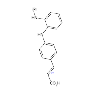 CC(C)Nc1ccccc1Nc1ccc(/C=C/C(=O)O)cc1